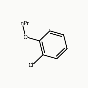 CCCOc1[c]cccc1Cl